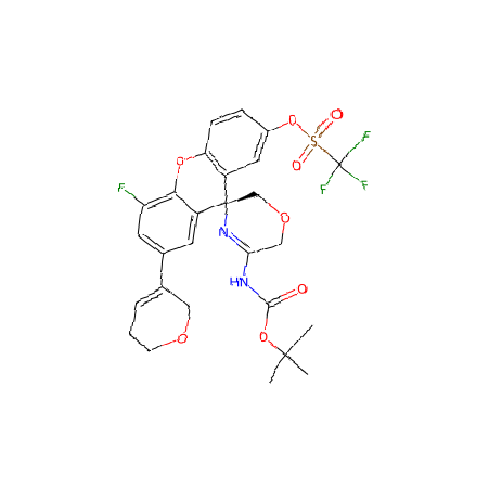 CC(C)(C)OC(=O)NC1=N[C@@]2(COC1)c1cc(OS(=O)(=O)C(F)(F)F)ccc1Oc1c(F)cc(C3=CCCOC3)cc12